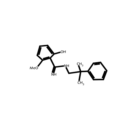 COc1cccc(O)c1C(=N)NCC(C)(C)c1ccccc1